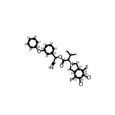 CC(C)C(C(=O)OC(C#N)c1cccc(Oc2ccccc2)c1)N1Cc2c(F)c(Cl)c(Cl)c(F)c2C1